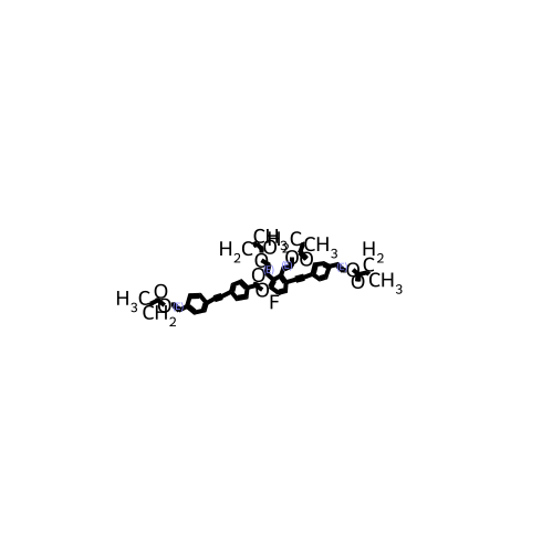 C=C(C)C(=O)O/C=C/c1ccc(C#Cc2ccc(C(=O)Oc3c(F)cc(C#Cc4ccc(/C=C/OC(=O)C(=C)C)cc4)c(/C=C/OC(=O)C(=C)C)c3/C=C/OC(=O)C(=C)C)cc2)cc1